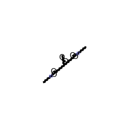 CCCCCC/C=C/COC(=O)CCCCCCCC(CCCCCCCC(=O)OC/C=C/CCCCCC)CC(=O)CCOC